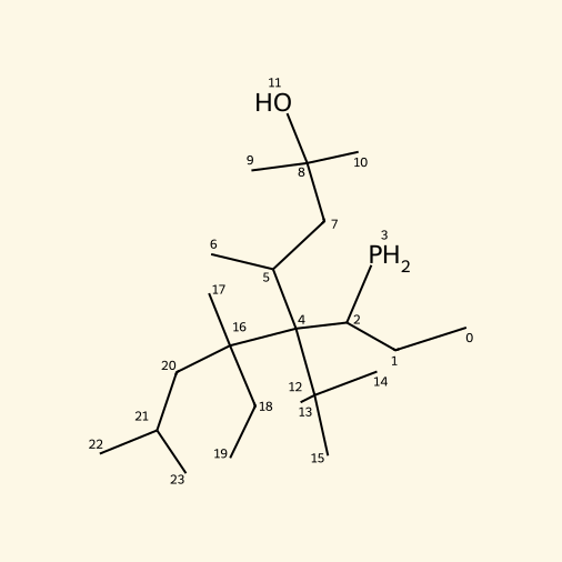 CCC(P)C(C(C)CC(C)(C)O)(C(C)(C)C)C(C)(CC)CC(C)C